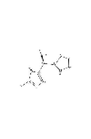 Cc1ccc([C@@H](N)C2CCCO2)o1